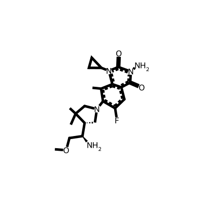 COC[C@H](N)[C@H]1CN(c2c(F)cc3c(=O)n(N)c(=O)n(C4CC4)c3c2C)CC1(C)C